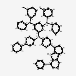 Cc1cccc(N(c2ccccc2)c2cc(N(c3ccc(-c4ccccc4)cc3)c3ccc(-c4cccc5c4sc4c(-c6ccccc6)cccc45)cc3)cc(N(c3ccccc3)c3cccc(C)c3)c2)c1